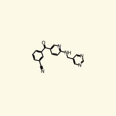 N#Cc1cccc(C(=O)c2ccc(NCc3cncnc3)nc2)c1